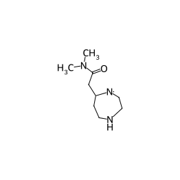 CN(C)C(=O)CC1CCNCC[N]1